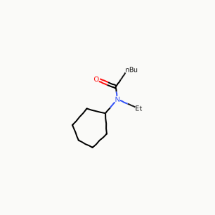 [CH2]CN(C(=O)CCCC)C1CCCCC1